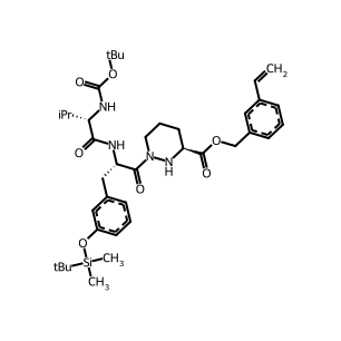 C=Cc1cccc(COC(=O)[C@@H]2CCCN(C(=O)[C@H](Cc3cccc(O[Si](C)(C)C(C)(C)C)c3)NC(=O)[C@@H](NC(=O)OC(C)(C)C)C(C)C)N2)c1